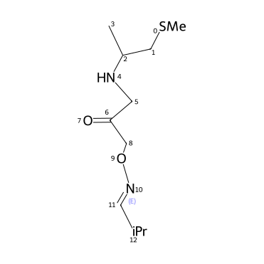 CSCC(C)NCC(=O)CO/N=C/C(C)C